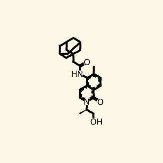 Cc1ccc2c(=O)n([C@H](C)CO)ccc2c1NC(=O)CC12CC3CC(CC(C3)C1)C2